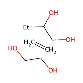 C=C.CCC(O)CO.OCCO